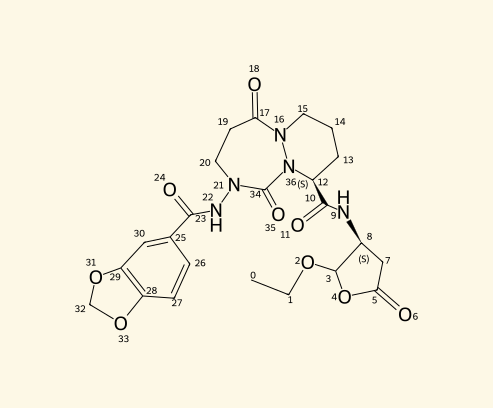 CCOC1OC(=O)C[C@@H]1NC(=O)[C@@H]1CCCN2C(=O)CCN(NC(=O)c3ccc4c(c3)OCO4)C(=O)N12